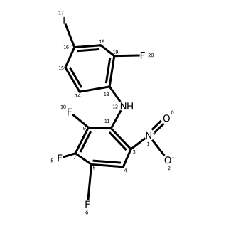 O=[N+]([O-])c1cc(F)c(F)c(F)c1Nc1ccc(I)cc1F